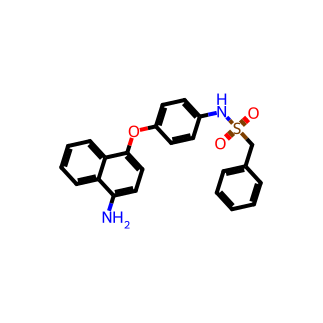 Nc1ccc(Oc2ccc(NS(=O)(=O)Cc3ccccc3)cc2)c2ccccc12